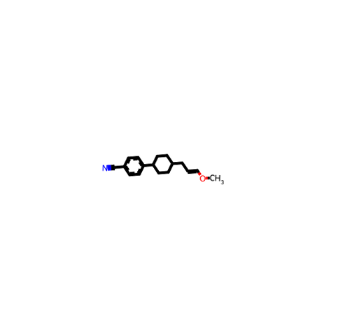 COC=CCC1CCC(c2ccc(C#N)cc2)CC1